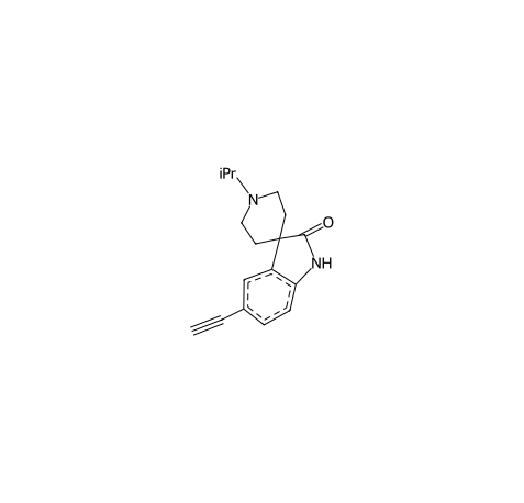 C#Cc1ccc2c(c1)C1(CCN(C(C)C)CC1)C(=O)N2